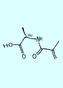 C=C(C)C(=O)N[C@H](C)C(=O)O